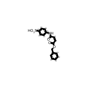 O=C(/C=C\C(=O)OCc1ccccc1)Nc1ccc(S(=O)(=O)O)cc1